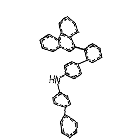 c1ccc(-c2ccc(Nc3ccc(-c4ccccc4-c4cc5ccccc5c5ccccc45)cc3)cc2)cc1